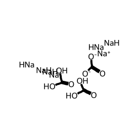 O=C(O)O.O=C(O)O.O=C([O-])[O-].[Na+].[Na+].[NaH].[NaH].[NaH].[NaH].[NaH]